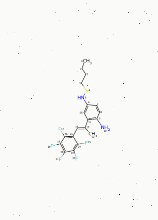 CCCCSNc1ccc(N)c(/C(C)=C/c2c(F)c(F)c(F)c(F)c2F)c1